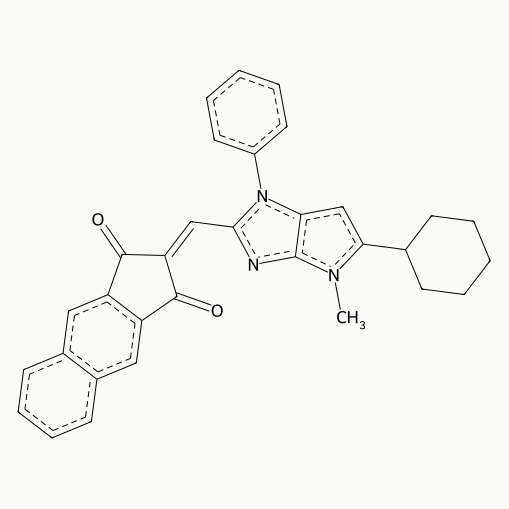 Cn1c(C2CCCCC2)cc2c1nc(C=C1C(=O)c3cc4ccccc4cc3C1=O)n2-c1ccccc1